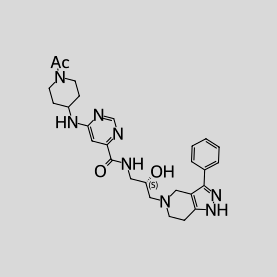 CC(=O)N1CCC(Nc2cc(C(=O)NC[C@H](O)CN3CCc4[nH]nc(-c5ccccc5)c4C3)ncn2)CC1